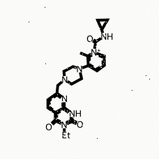 CCn1c(=O)[nH]c2nc(CN3CCN(c4ccc[n+](C(=O)NC5CC5)c4C)CC3)ccc2c1=O